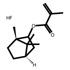 C=C(C)C(=O)OC1C[C@H]2CC[C@@]1(C)C2(C)C.F